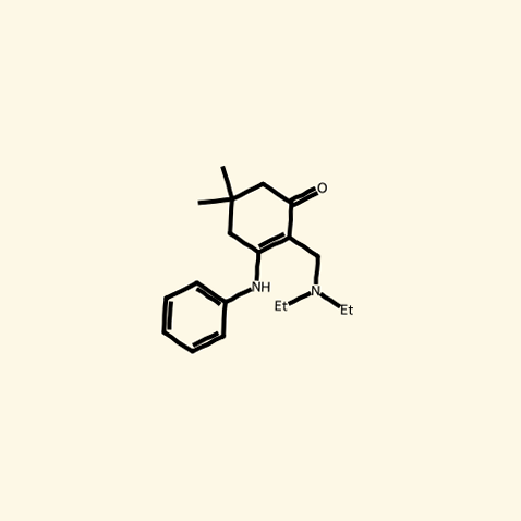 CCN(CC)CC1=C(Nc2ccccc2)CC(C)(C)CC1=O